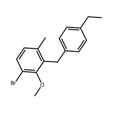 CCc1ccc(Cc2c(C)ccc(Br)c2OC)cc1